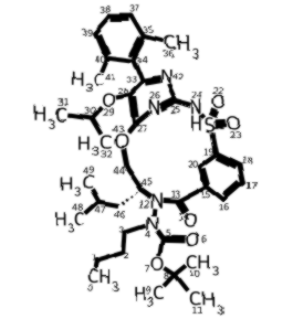 CCCCN(C(=O)OC(C)(C)C)N1C(=O)c2cccc(c2)S(=O)(=O)Nc2nc(c(OC(C)C)c(-c3c(C)cccc3C)n2)OC[C@H]1CC(C)C